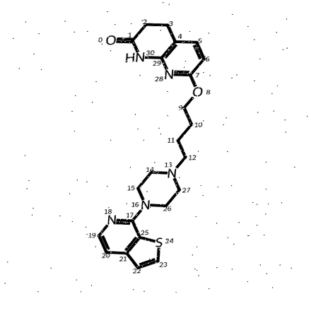 O=C1CCc2ccc(OCCCCN3CCN(c4nccc5ccsc45)CC3)nc2N1